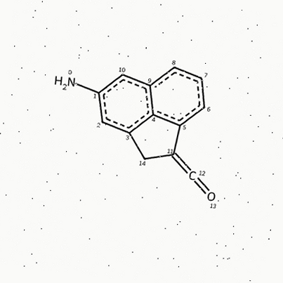 Nc1cc2c3c(cccc3c1)C(=C=O)C2